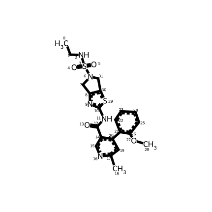 CCNS(=O)(=O)N1Cc2nc(NC(=O)c3cnc(C)cc3-c3ccccc3OC)sc2C1